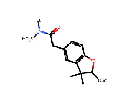 CCN(C(=O)Cc1ccc2c(c1)C(C)(C)C(OC(C)=O)O2)S(=O)(=O)O